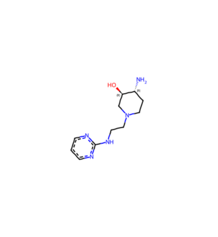 N[C@@H]1CCN(CCNc2ncccn2)C[C@H]1O